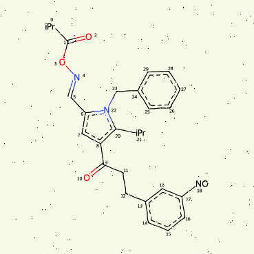 CC(C)C(=O)O/N=C/c1cc(C(=O)CCc2cccc(N=O)c2)c(C(C)C)n1Cc1ccccc1